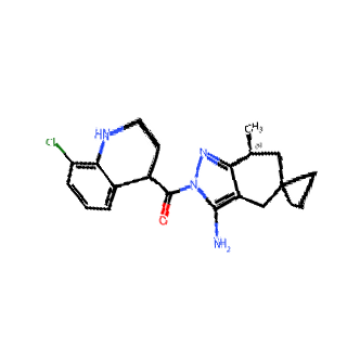 C[C@H]1CC2(CC2)Cc2c1nn(C(=O)C1CCNc3c(Cl)cccc31)c2N